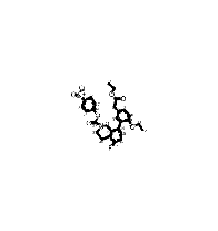 CCOC(=O)Cc1ccc(OCC)c(-c2ccc(F)c3c2CN(C(=O)Oc2ccc([N+](=O)[O-])cc2)CC3)c1